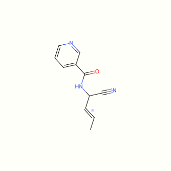 C/C=C/C(C#N)NC(=O)c1cccnc1